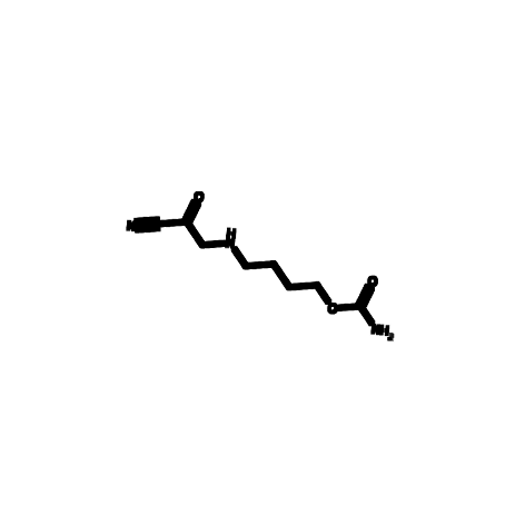 N#CC(=O)CNCCCCOC(N)=O